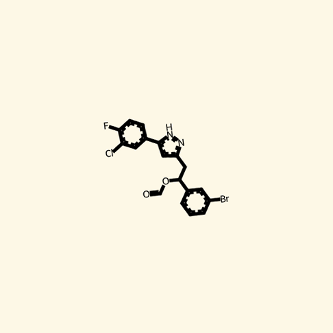 O=COC(Cc1cc(-c2ccc(F)c(Cl)c2)[nH]n1)c1cccc(Br)c1